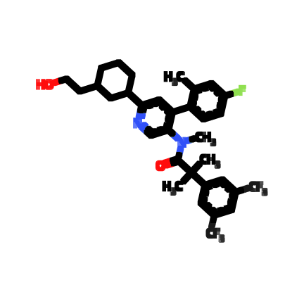 Cc1cc(F)ccc1-c1cc(C2CCCC(CCO)C2)ncc1N(C)C(=O)C(C)(C)c1cc(C(F)(F)F)cc(C(F)(F)F)c1